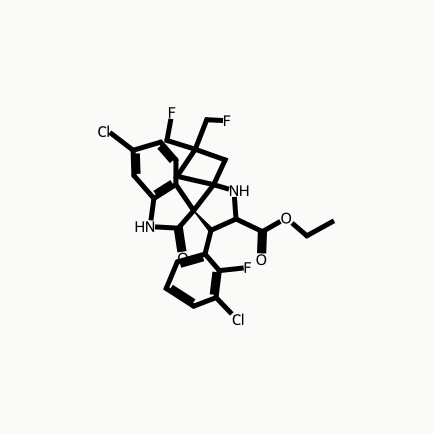 CCOC(=O)C1NC2(CC(CF)(CF)C2)[C@@]2(C(=O)Nc3cc(Cl)ccc32)C1c1cccc(Cl)c1F